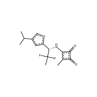 Cc1c(N[C@@H](c2cc(C(C)C)co2)C(F)(F)F)c(=O)c1=O